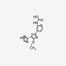 CCOc1nc(-c2ccnc(NC(=O)O)c2)sc1-c1nc[nH]n1